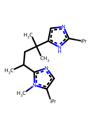 CC(C)c1ncc(C(C)(C)CC(C)c2ncc(C(C)C)n2C)[nH]1